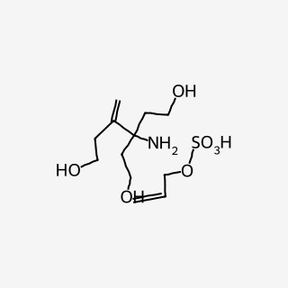 C=C(CCO)C(N)(CCO)CCO.C=CCOS(=O)(=O)O